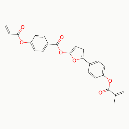 C=CC(=O)Oc1ccc(C(=O)Oc2ccc(-c3ccc(OC(=O)C(=C)C)cc3)o2)cc1